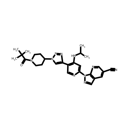 CC(C)Nc1cc(-n2ncc3cc(C#N)cnc32)ncc1-c1cn(C2CCN(C(=O)C(C)(C)C)CC2)nn1